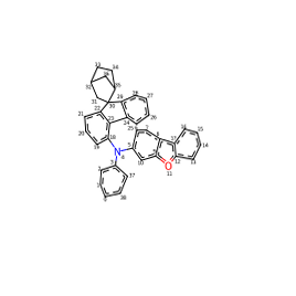 c1ccc(N(c2ccc3c(c2)oc2ccccc23)c2cccc3c2-c2ccccc2C32CC3CCC2C3)cc1